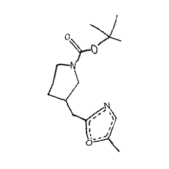 Cc1cnc(CC2CCN(C(=O)OC(C)(C)C)C2)o1